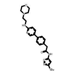 CC(C)(C)c1cc(NC(=O)Cc2ccc(-c3ccc(NCCN4CCOCC4)nc3)cc2)on1